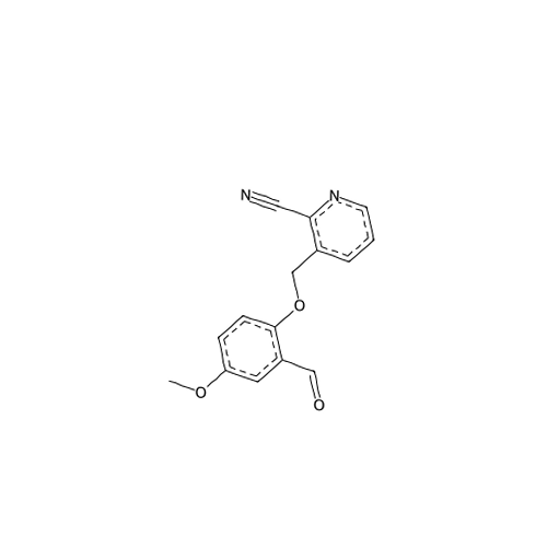 COc1ccc(OCc2cccnc2C#N)c(C=O)c1